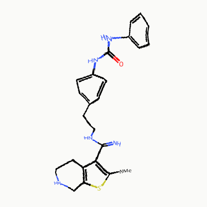 CNc1sc2c(c1C(=N)NCCc1ccc(NC(=O)Nc3ccccc3)cc1)CCNC2